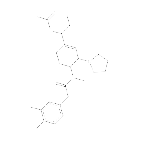 Br.CCC(OC(C)=O)C1=CC(N2CCCC2)C(N(C)C(=O)Cc2ccc(Cl)c(Cl)c2)CC1